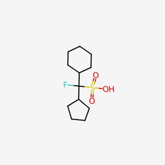 O=S(=O)(O)C(F)(C1CCCCC1)C1CCCC1